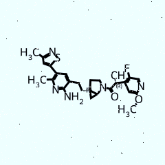 COc1cc([C@@H](C)C(=O)N2CC[C@]3(CCc4cc(-c5cc(C)ns5)c(C)nc4N)CC23)c(F)cn1